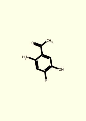 CC(=O)c1cc(O)c(F)cc1N